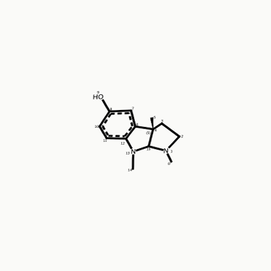 CN1CC[C@@]2(C)c3cc(O)ccc3N(C)C12